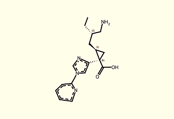 CC[C@H](CN)C[C@H]1C[C@]1(C(=O)O)c1cn(-c2ccccn2)cn1